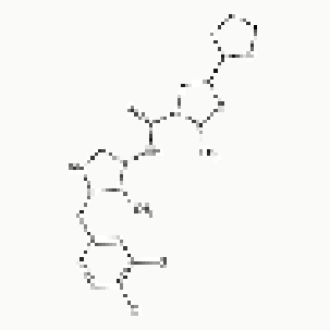 CC1C(NC(=O)C2CC(C3CCCO3)ON2C)CNN1Cc1ccc(Cl)c(Cl)c1